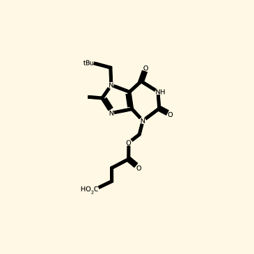 Cc1nc2c(c(=O)[nH]c(=O)n2COC(=O)CCC(=O)O)n1CC(C)(C)C